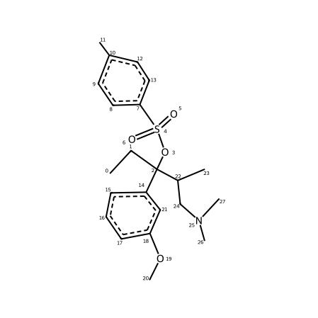 CCC(OS(=O)(=O)c1ccc(C)cc1)(c1cccc(OC)c1)C(C)CN(C)C